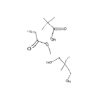 C=CC(=O)OC.CC(C)(C)C(=O)O.CC(C)(CO)CO